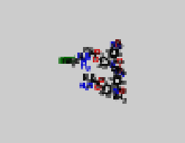 CC(C)[C@H](N)C(=O)O[C@H]1CC[C@H](N(C)C(=O)c2ccc3nonc3c2)CC1.C[C@H](N)C(=O)O[C@H]1CC[C@H](N(C)C(=O)c2ccc3nonc3c2)CC1.Cl.Cl.Cl.NCC(=O)O